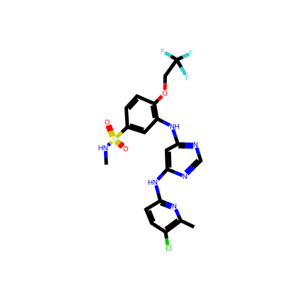 CNS(=O)(=O)c1ccc(OCC(F)(F)F)c(Nc2cc(Nc3ccc(Cl)c(C)n3)ncn2)c1